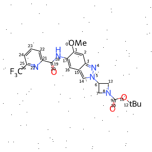 COc1cc2nn(C3CN(C(=O)OC(C)(C)C)C3)cc2cc1NC(=O)c1cccc(C(F)(F)F)n1